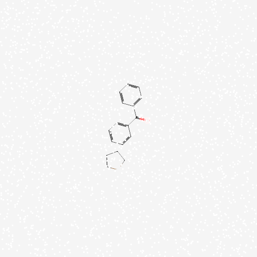 C1CCSC1.O=C(c1ccccc1)c1ccccc1